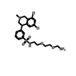 CN1Cc2c(Cl)cc(Cl)cc2C(c2cccc(S(=O)(=O)NCCOCCOCN)c2)C1